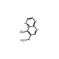 CCc1cnc2cccnc2c1O